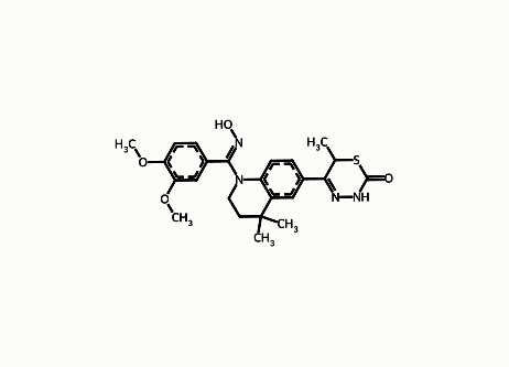 COc1ccc(C(=NO)N2CCC(C)(C)c3cc(C4=NNC(=O)SC4C)ccc32)cc1OC